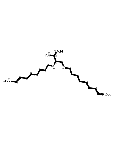 CCCCCCCCCCCCCCCCCCOCC(OCCCCCCCCCCCCCCCCCC)C([SeH])CCCC